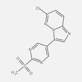 CS(=O)(=O)c1ncc(-c2cnc3ccc(Cl)nn23)cn1